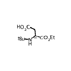 CCOC(=O)[C@H](CC(=O)O)NC(C)(C)C